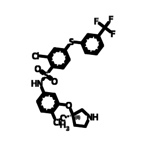 C[C@@]1(Oc2cc(NS(=O)(=O)c3ccc(Sc4cccc(C(F)(F)F)c4)cc3Cl)ccc2Cl)CCNC1